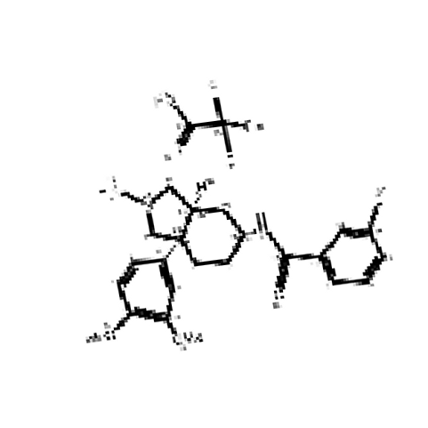 COc1ccc([C@@]23CC[C@@H](NC(=O)c4cccc(Cl)c4)C[C@@H]2CN(C)C3)cc1OC.O=C(O)C(F)(F)F